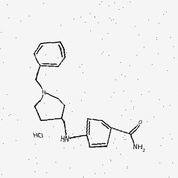 Cl.NC(=O)c1ccc(NC2CCN(Cc3ccccc3)CC2)cc1